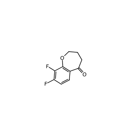 O=C1CCCOc2c1ccc(F)c2F